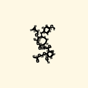 COc1ccc(C[C@H]2CCC[C@H](NC(=O)c3nccc(OC)c3OCOC(C)=O)C(=O)O[C@@H](C)[C@@H]2OCC2CC2)cc1